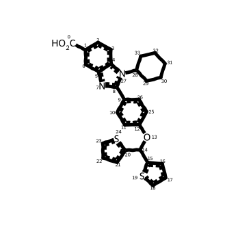 O=C(O)c1ccc2c(c1)nc(-c1ccc(OC(c3cccs3)c3cccs3)cc1)n2C1CCCCC1